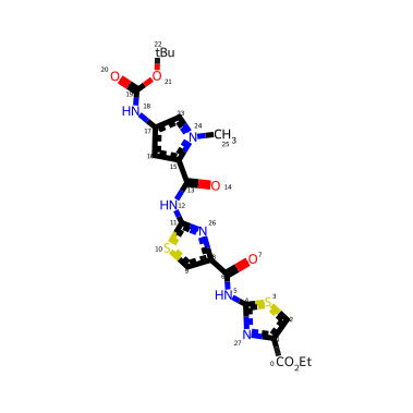 CCOC(=O)c1csc(NC(=O)c2csc(NC(=O)c3cc(NC(=O)OC(C)(C)C)cn3C)n2)n1